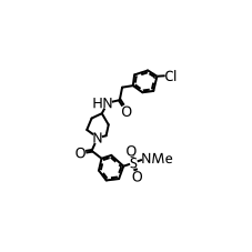 CNS(=O)(=O)c1cccc(C(=O)N2CCC(NC(=O)Cc3ccc(Cl)cc3)CC2)c1